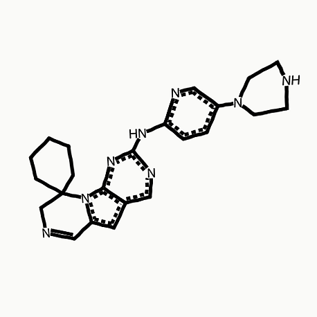 C1=NCC2(CCCCC2)n2c1cc1cnc(Nc3ccc(N4CCNCC4)cn3)nc12